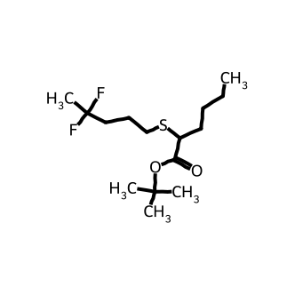 CCCCC(SCCCC(C)(F)F)C(=O)OC(C)(C)C